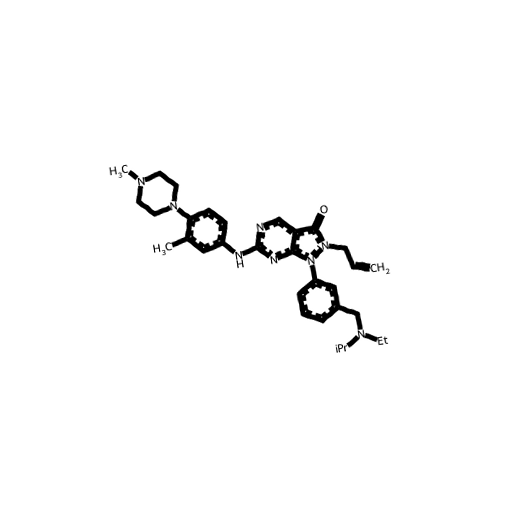 C=CCn1c(=O)c2cnc(Nc3ccc(N4CCN(C)CC4)c(C)c3)nc2n1-c1cccc(CN(CC)C(C)C)c1